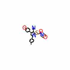 COc1ccc(-c2cc(-c3ccc(C)cc3)nc(SCC(=O)N3CCOCC3)c2C#N)cc1